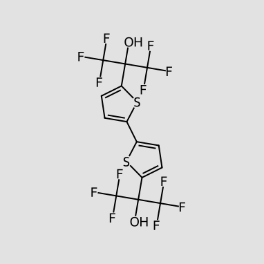 OC(c1ccc(-c2ccc(C(O)(C(F)(F)F)C(F)(F)F)s2)s1)(C(F)(F)F)C(F)(F)F